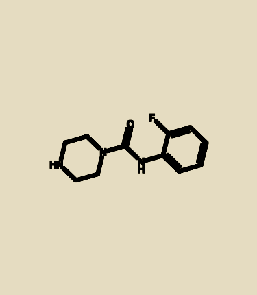 O=C(Nc1ccccc1F)N1CCNCC1